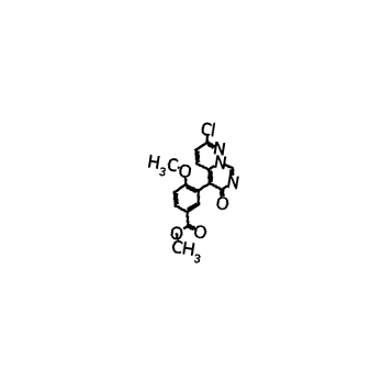 COC(=O)c1ccc(OC)c(-c2c(=O)ncn3nc(Cl)ccc23)c1